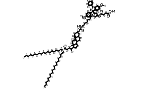 CCCCCCCCCCCCCCCCCCN(CCCCCCCCCCCCCCCCCC)C(=O)CCC(C)C1CCC2C3CCC4CC(OC(=O)NCCCCCC(=O)N5CC(OC(=O)CCC(=O)O)CC5C(OCc5ccccc5)(c5ccc(OC)cc5)c5ccc(OC)cc5)CCC4(C)C3CCC12C